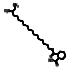 CCC(C)CCCCCCCCCCCCCCCOC(=O)C1CCCCC1C(=O)O